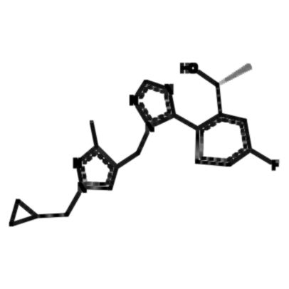 Cc1nn(CC2CC2)cc1Cn1ncnc1-c1ccc(F)cc1[C@@H](C)O